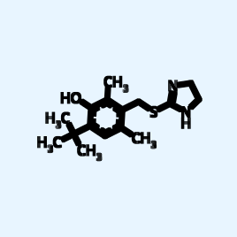 Cc1cc(C(C)(C)C)c(O)c(C)c1CSC1=NCCN1